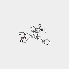 NC(=O)[C@@H]1CCC[N+]1(C(=O)NCCN1CCCCC1)C(=O)[C@H](CC1CCCC1)CN(C=O)OC=O